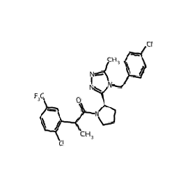 Cc1nnc([C@H]2CCCN2C(=O)C(C)c2cc(C(F)(F)F)ccc2Cl)n1Cc1ccc(Cl)cc1